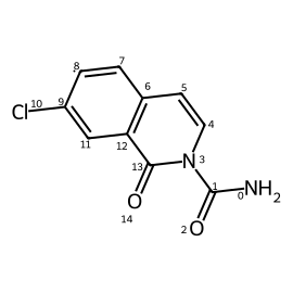 NC(=O)n1ccc2c[c]c(Cl)cc2c1=O